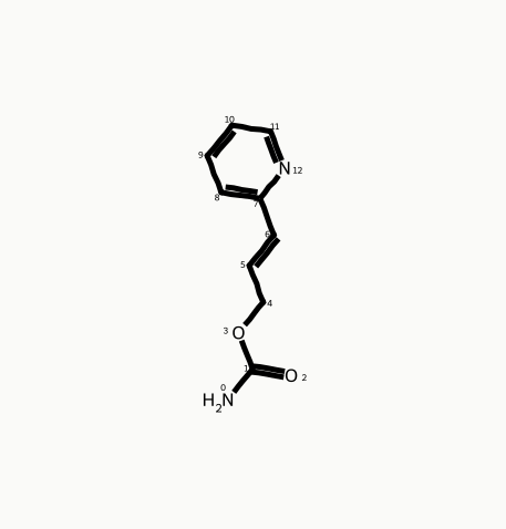 NC(=O)OCC=Cc1ccccn1